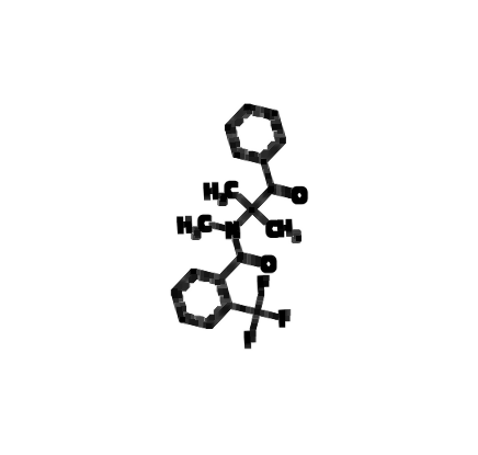 CN(C(=O)c1ccccc1C(F)(F)F)C(C)(C)C(=O)c1ccccc1